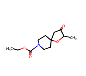 CCOC(=O)N1CCC2(CC1)CC(=O)C(C)O2